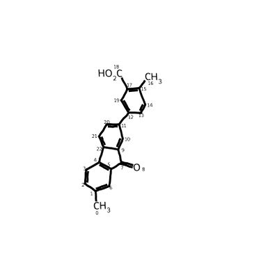 Cc1ccc2c(c1)C(=O)c1cc(-c3ccc(C)c(C(=O)O)c3)ccc1-2